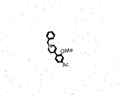 COc1cc(C(C)=O)ccc1C1=CCN(Cc2ccccc2)CC1